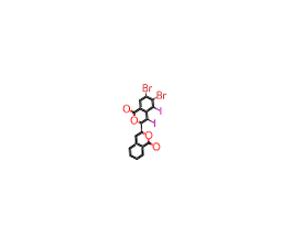 O=c1oc(-c2oc(=O)c3cc(Br)c(Br)c(I)c3c2I)cc2ccccc12